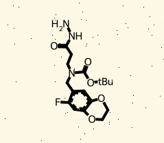 CC(C)(C)OC(=O)N(CCC(=O)NN)Cc1cc2c(cc1F)OCCO2